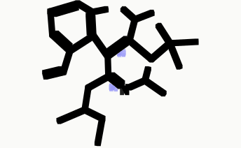 C=Cc1cccc(C)c1C(/C(CC(C)CC)=N\C(C)C)=C(/CC(C)(C)C)C(C)C